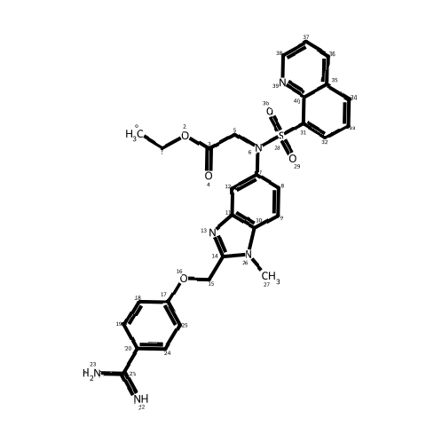 CCOC(=O)CN(c1ccc2c(c1)nc(COc1ccc(C(=N)N)cc1)n2C)S(=O)(=O)c1cccc2cccnc12